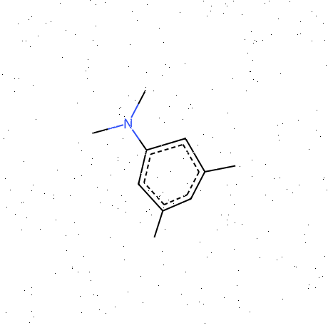 Cc1cc(C)cc(N(C)C)c1